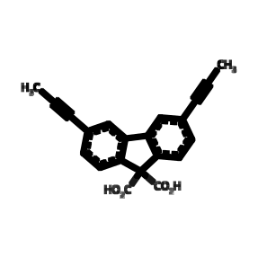 CC#Cc1ccc2c(c1)-c1cc(C#CC)ccc1C2(C(=O)O)C(=O)O